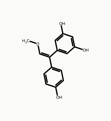 COC=C(c1ccc(O)cc1)c1cc(O)cc(O)c1